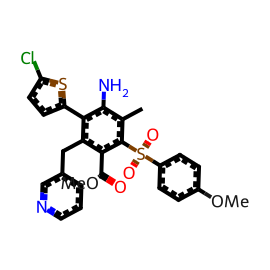 COC(=O)c1c(Cc2cccnc2)c(-c2ccc(Cl)s2)c(N)c(C)c1S(=O)(=O)c1ccc(OC)cc1